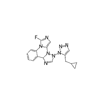 Fc1ncc2n1-c1ccccc1C1N=CN(n3nncc3CC3CC3)N21